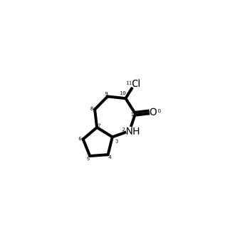 O=C1NC2CCCC2CCC1Cl